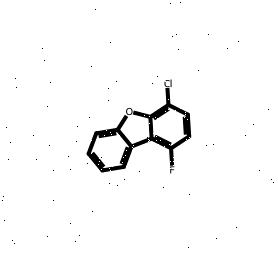 Fc1ccc(Cl)c2oc3ccccc3c12